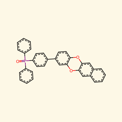 O=P(c1ccccc1)(c1ccccc1)c1ccc(-c2ccc3c(c2)Oc2cc4ccccc4cc2O3)cc1